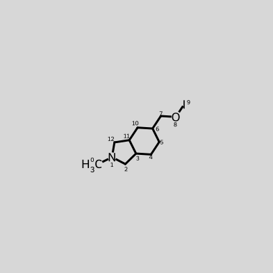 CN1CC2CCC(COI)CC2C1